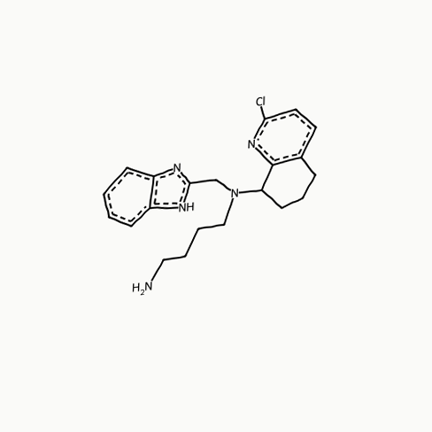 NCCCCN(Cc1nc2ccccc2[nH]1)C1CCCc2ccc(Cl)nc21